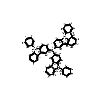 c1ccc(-n2c3ccccc3c3cc(N(c4ccc5c(c4)c4ccccc4n5-c4ccccc4)c4ccc5c(c4)c4cccc6c7ccccc7n5c64)ccc32)cc1